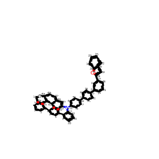 c1ccc(-c2ccc(-c3ccccc3N(c3ccc(-c4ccc(-c5cccc(-c6cc7ccccc7o6)c5)cc4)cc3)c3ccc4c(ccc5ccccc54)c3)cc2)cc1